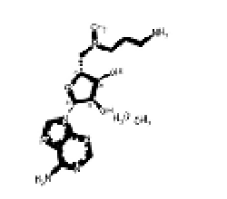 CN(CCCN)C[C@H]1O[C@@H](n2cnc3c(N)ncnc32)[C@H](O)[C@@H]1O.O.O